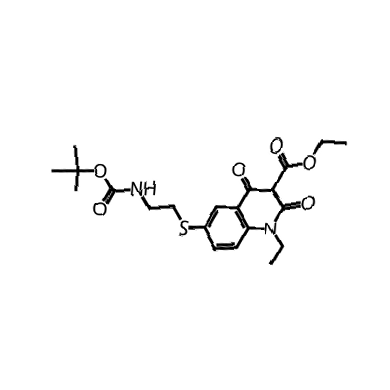 CCOC(=O)C1C(=O)c2cc(SCCNC(=O)OC(C)(C)C)ccc2N(CC)C1=O